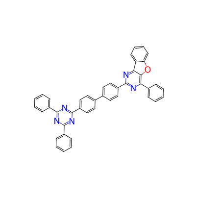 c1ccc(-c2nc(-c3ccccc3)nc(-c3ccc(-c4ccc(-c5nc(-c6ccccc6)c6oc7ccccc7c6n5)cc4)cc3)n2)cc1